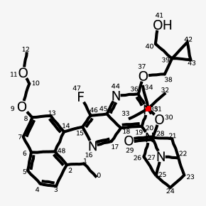 CCc1cccc2cc(OCOC)cc(-c3ncc4c(N5CC6CCC(C5)N6C(=O)OC(C)(C)C)nc(OCC5(CO)CC5)nc4c3F)c12